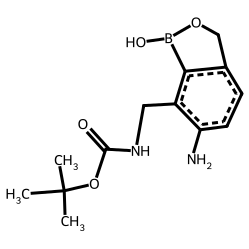 CC(C)(C)OC(=O)NCc1c(N)ccc2c1B(O)OC2